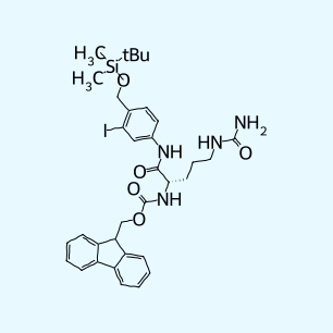 CC(C)(C)[Si](C)(C)OCc1ccc(NC(=O)[C@H](CCCNC(N)=O)NC(=O)OCC2c3ccccc3-c3ccccc32)cc1I